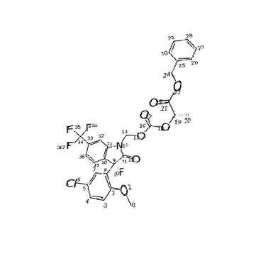 COc1ccc(Cl)cc1[C@]1(F)C(=O)N(COC(=O)O[C@@H](C)C(=O)OCc2ccccc2)c2cc(C(F)(F)F)ccc21